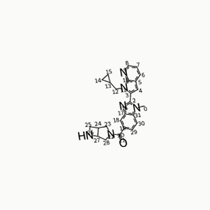 Cn1c(-c2cc3cccnc3n2CC2CC2)nc2cc(C(=O)N3CC4CNC4C3)ccc21